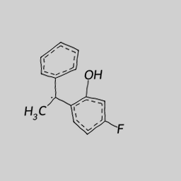 C[C](c1ccccc1)c1ccc(F)cc1O